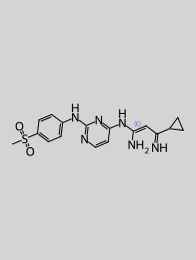 CS(=O)(=O)c1ccc(Nc2nccc(N/C(N)=C/C(=N)C3CC3)n2)cc1